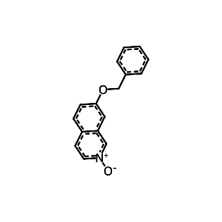 [O-][n+]1ccc2ccc(OCc3ccccc3)cc2c1